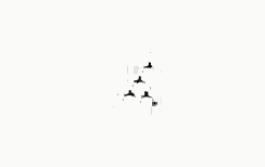 CCNc1nc(N)nc(NC(=O)C(C)=O)n1